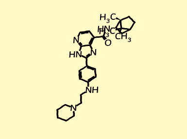 CC1(C)C2CC[C@@]1(C)[C@@H](NC(=O)c1ccnc3[nH]c(-c4ccc(NCCN5CCCCC5)cc4)nc13)C2